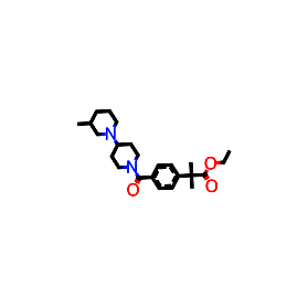 CCOC(=O)C(C)(C)c1ccc(C(=O)N2CCC(N3CCCC(C)C3)CC2)cc1